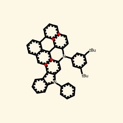 CC(C)(C)c1cc(N(c2ccc3c4ccccc4n(-c4ccccc4)c3c2)c2ccccc2-c2cccc3cccc(-c4ccccc4)c23)cc(C(C)(C)C)c1